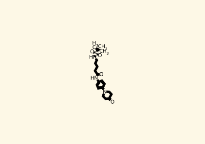 CC(C)(C)S(=O)(=O)NCCCCC(=O)Nc1ccc(N2CCC(=O)CC2)cc1